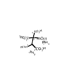 CCCCCCCCC(C(=O)O)C(CCCCCCCC)(C(=O)O)S(=O)(=O)O.P.P